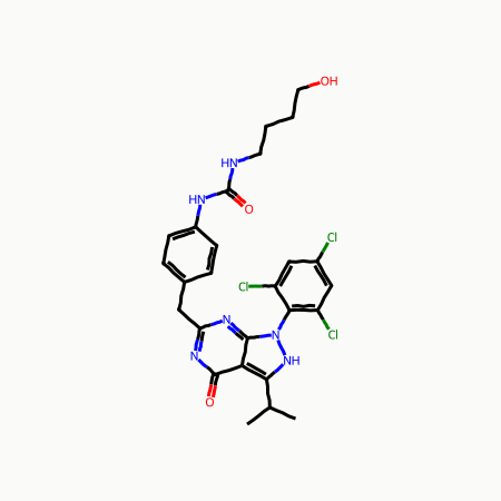 CC(C)c1[nH]n(-c2c(Cl)cc(Cl)cc2Cl)c2nc(Cc3ccc(NC(=O)NCCCCO)cc3)nc(=O)c1-2